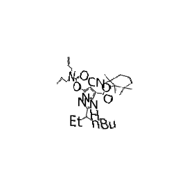 C=CCN(CC=C)C(=O)Oc1c(C#N)c(C(=O)OC2(C)C(C)(C)CCCC2(C)C)c2[nH]c(C(CC)CCCC)nn12